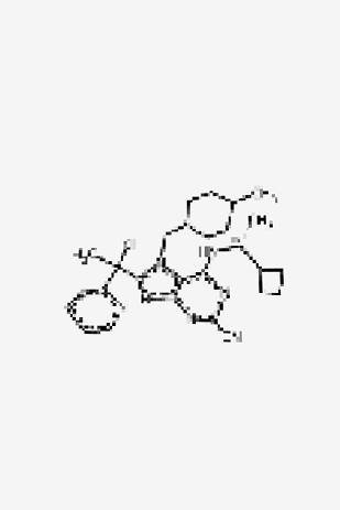 CC1CCC(Cn2c(C(C)(Cl)c3ccccn3)nc3nc(C#N)nc(N[C@H](C)C4CCC4)c32)CC1